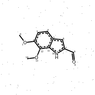 COc1ccc2cc(C=O)[nH]c2c1OC